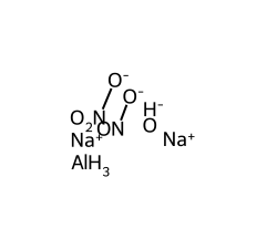 O=[N+]([O-])[O-].O=[NH+][O-].[AlH3].[Na+].[Na+].[OH-]